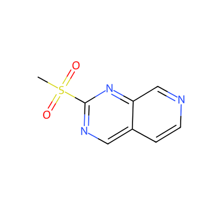 CS(=O)(=O)c1ncc2ccncc2n1